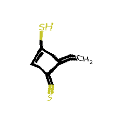 C=C1C(=S)C=C1S